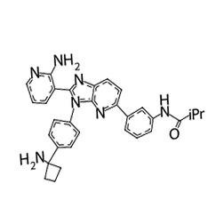 CC(C)C(=O)Nc1cccc(-c2ccc3nc(-c4cccnc4N)n(-c4ccc(C5(N)CCC5)cc4)c3n2)c1